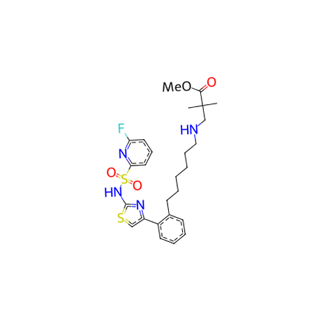 COC(=O)C(C)(C)CNCCCCCCc1ccccc1-c1csc(NS(=O)(=O)c2cccc(F)n2)n1